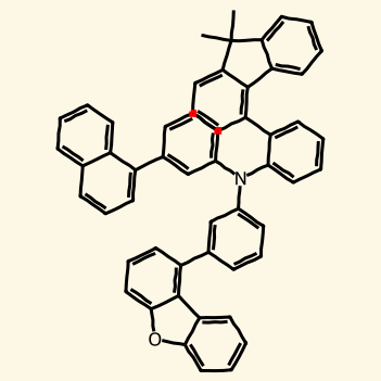 CC1(C)c2ccccc2-c2c(-c3ccccc3N(c3cccc(-c4cccc5ccccc45)c3)c3cccc(-c4cccc5oc6ccccc6c45)c3)cccc21